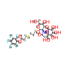 CC(=O)NC1C(OCCCSCCC(=O)Oc2c(F)c(F)c(F)c(F)c2F)OC(CO)C(O)C1OC1OC(CO)C(O)C(O)C1O